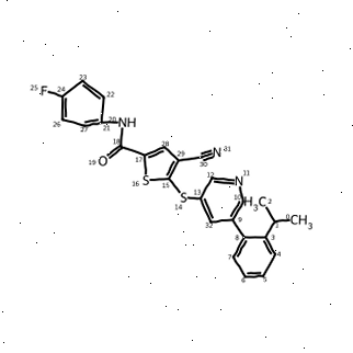 CC(C)c1ccccc1-c1cncc(Sc2sc(C(=O)Nc3ccc(F)cc3)cc2C#N)c1